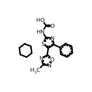 C1CCCCC1.Cc1noc(-c2sc(NC(=O)O)nc2-c2ccccc2)n1